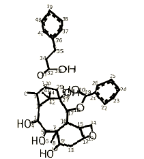 CC1C2C(O)C(O)C3(C)C(O)CC4OCC4C3C(OC(O)c3ccccc3)C(O)(C[C@H]1OC(O)CCc1ccccc1)C2(C)C